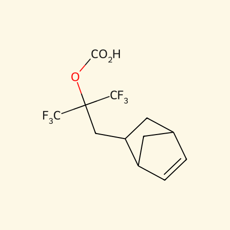 O=C(O)OC(CC1CC2C=CC1C2)(C(F)(F)F)C(F)(F)F